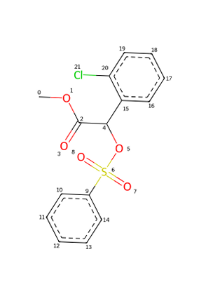 COC(=O)C(OS(=O)(=O)c1ccccc1)c1ccccc1Cl